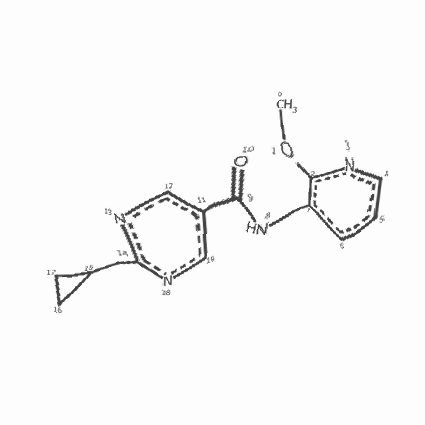 COc1ncccc1NC(=O)c1cnc(C2CC2)nc1